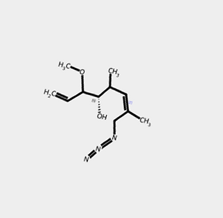 C=CC(OC)[C@@H](O)C(C)/C=C(/C)CN=[N+]=[N-]